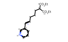 CCOC(=O)C(CCC/C=C/c1cccnc1)C(=O)OCC